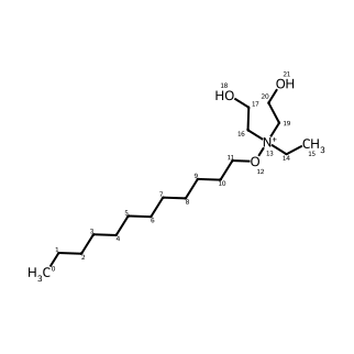 CCCCCCCCCCCCO[N+](CC)(CCO)CCO